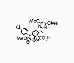 COc1cc(OC)nc(Sc2ccc(C(c3ccc(Cl)cc3)P(=O)(OC)OC)c(Cl)c2C(=O)O)n1